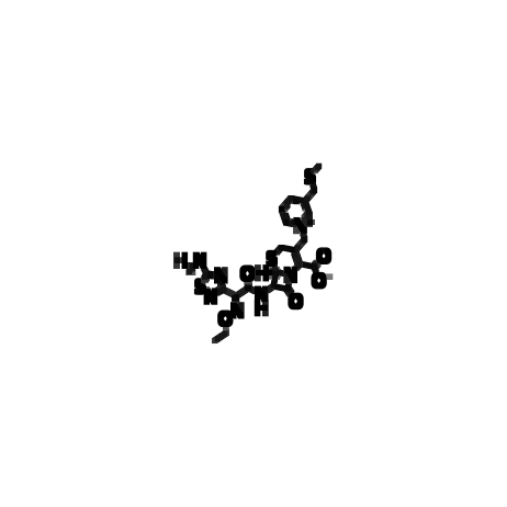 CCON=C(C(=O)NC1C(=O)N2C(C(=O)[O-])=C(C[n+]3cccc(CSC)c3)CS[C@@H]12)c1nsc(N)n1